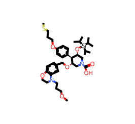 COCCCN1CCOc2ccc(CO[C@H]3CN(C(=O)O)C[C@@H](O[Si](C(C)C)(C(C)C)C(C)C)[C@@H]3c3ccc(OCCCSC)cc3)cc21